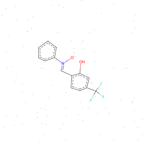 [O-][N+](=Cc1ccc(C(F)(F)F)cc1O)c1ccccc1